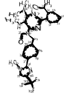 CNc1c(N(C)C)nc(-c2ccccc2C(C)C)nc1N(C=O)Cc1ccc(-c2nc(C(F)(F)F)cn2C)cc1